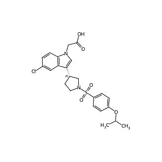 CC(C)Oc1ccc(S(=O)(=O)N2CC[C@H](c3cn(CC(=O)O)c4ccc(Cl)cc34)C2)cc1